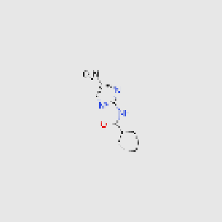 O=C(Nc1ncc([N+](=O)[O-])cn1)C1CCCCC1